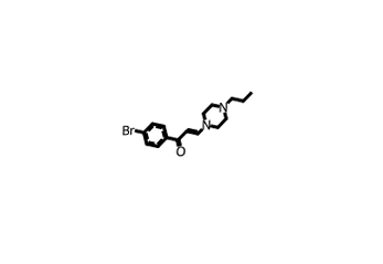 CCCN1CCN(C=CC(=O)c2ccc(Br)cc2)CC1